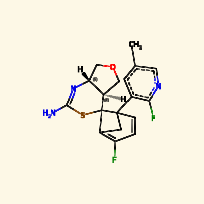 Cc1cnc(F)c(C23C=CC(F)=C(C2)C32SC(N)=N[C@@H]3COC[C@H]32)c1